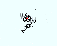 CN1CCC2(CC1)NC(=O)N(Cc1ccc(OCC3CC3)cc1)[C@H]2Cc1ccc(F)cc1